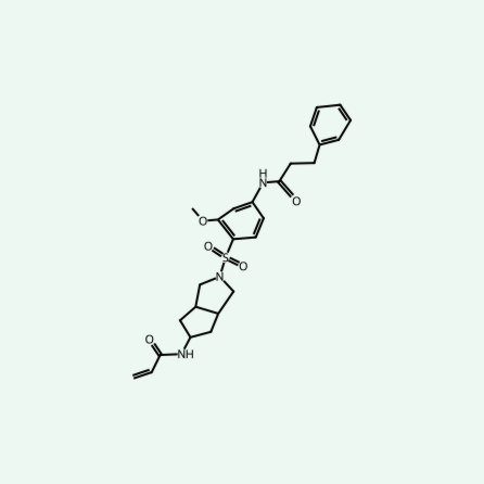 C=CC(=O)NC1CC2CN(S(=O)(=O)c3ccc(NC(=O)CCc4ccccc4)cc3OC)CC2C1